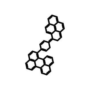 C1=CC(=C2CC=c3ccc4cccc5ccc2c3c54)CC=C1c1ccc2cccc3c4cccc5cccc(c1c23)c54